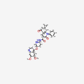 COc1cc2nccc(Oc3ccc(NC(=O)c4cc5c(n(-c6ccccc6)c4=O)CC4(CC4)CC5=O)nc3)c2cc1OC